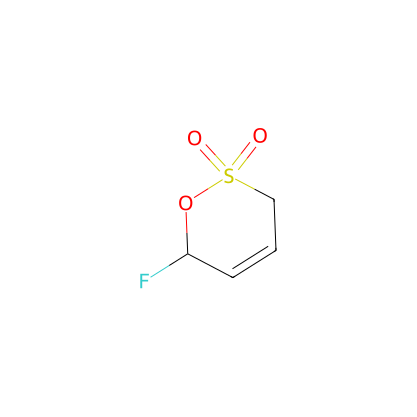 O=S1(=O)CC=CC(F)O1